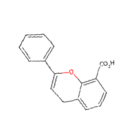 O=C(O)c1cccc2c1OC(c1ccccc1)=CC2